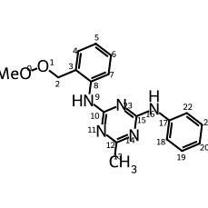 COOCc1ccccc1Nc1nc(C)nc(Nc2ccccc2)n1